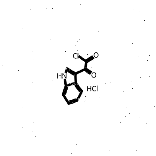 Cl.O=C(Cl)C(=O)c1c[nH]c2ccccc12